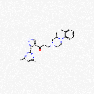 COc1cc(C)nc(-c2n[nH]cc2C(=O)CCN2CCN(c3ccccc3C)C(C)C2)n1.Cl